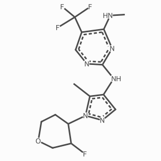 CNc1nc(Nc2cnn(C3CCOCC3F)c2C)ncc1C(F)(F)F